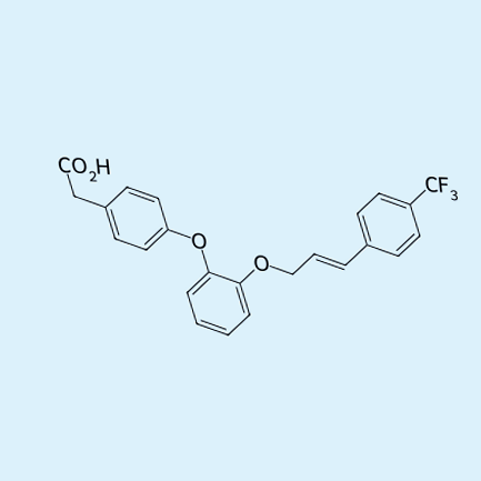 O=C(O)Cc1ccc(Oc2ccccc2OCC=Cc2ccc(C(F)(F)F)cc2)cc1